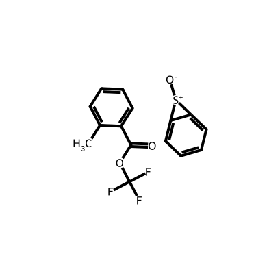 Cc1ccccc1C(=O)OC(F)(F)F.[O-][S+]1c2ccccc21